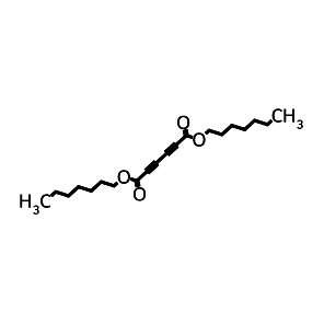 CCCCCCCOC(=O)C#CC#CC(=O)OCCCCCCC